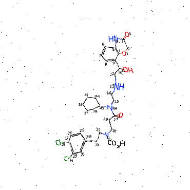 O=C1COc2c(cccc2C(O)CNCCN(C(=O)CCN(CCc2ccc(Cl)c(Cl)c2)C(=O)O)C2CCCCC2)N1